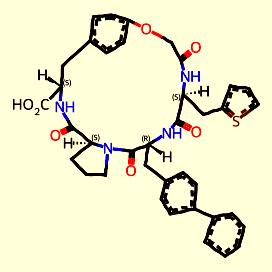 O=C1COc2ccc(cc2)C[C@@H](C(=O)O)NC(=O)[C@@H]2CCCN2C(=O)[C@@H](Cc2ccc(-c3ccccc3)cc2)NC(=O)[C@H](Cc2cccs2)N1